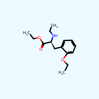 CCN[C@@H](Cc1ccccc1OCC)C(=O)OCC